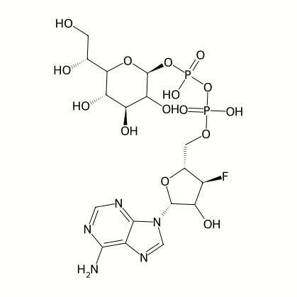 Nc1ncnc2c1ncn2[C@@H]1O[C@H](COP(=O)(O)OP(=O)(O)O[C@@H]2OC([C@H](O)CO)[C@@H](O)[C@H](O)C2O)[C@@H](F)C1O